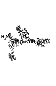 CC(C)[C@H](NC(=O)CCCCCN1C(=O)C=CC1=O)C(=O)N[C@@H](CCCNC(N)=O)C(=O)Nc1ccc(COC(=O)N(CCCNCCN2C(=O)c3cccc4c(-n5ccnc5)ccc(c34)C2=O)CCN2C(=O)c3cccc4c(-n5ccnc5)ccc(c34)C2=O)cc1